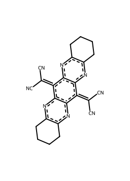 N#CC(C#N)=c1c2nc3c(nc2c(=C(C#N)C#N)c2nc4c(nc12)CCCC4)CCCC3